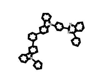 c1ccc(-c2nc(-c3ccc(-n4c5ccccc5c5cc(-c6cccc(-c7ccc8c(c7)c7ccccc7n8-c7ccccc7)c6)ccc54)cc3)nc3ccccc23)cc1